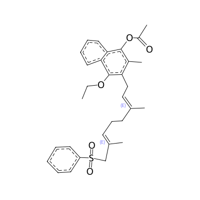 CCOc1c(C/C=C(\C)CC/C=C(\C)CS(=O)(=O)c2ccccc2)c(C)c(OC(C)=O)c2ccccc12